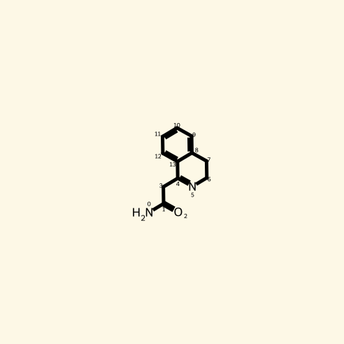 NC(=O)CC1=NCCc2ccccc21